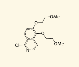 COCCOc1ccc2c(Cl)ncnc2c1OCCOC